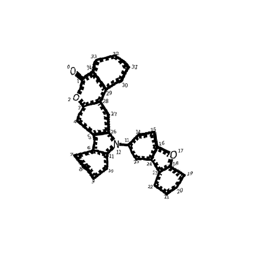 O=c1oc2cc3c4ccccc4n(-c4ccc5oc6ccccc6c5c4)c3cc2c2ccccc12